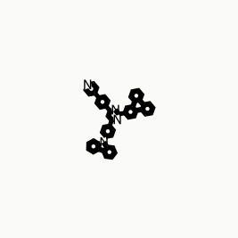 c1ccc2c(c1)c1ccccc1c1cc(-c3nc(-c4ccc(-c5ccncc5)cc4)cc(-c4ccc(-n5c6ccccc6c6ccccc65)cc4)n3)ccc21